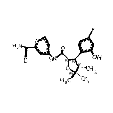 C[C@H]1[C@H](c2ccc(F)cc2O)[C@H](C(=O)Nc2ccnc(C(N)=O)c2)O[C@@]1(C)C(F)(F)F